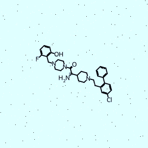 N[C@@H](C(=O)N1CCN(Cc2c(O)cccc2F)CC1)C1CCN(CCc2cc(Cl)ccc2-c2ccccc2)CC1